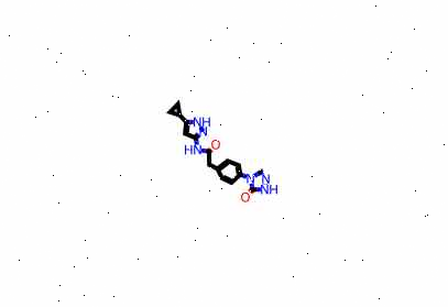 O=C(Cc1ccc(-n2cn[nH]c2=O)cc1)Nc1cc(C2CC2)[nH]n1